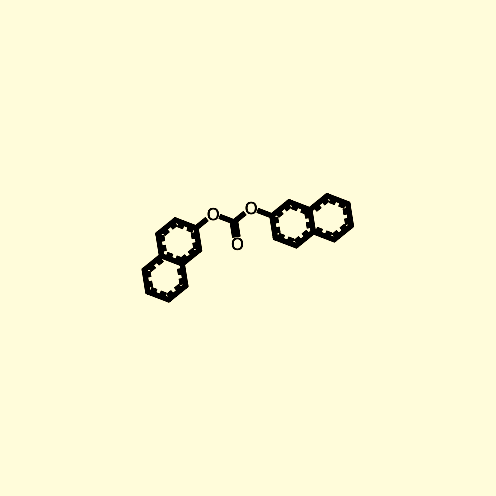 O=C(Oc1ccc2ccccc2c1)Oc1ccc2ccccc2c1